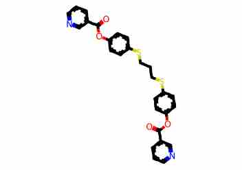 O=C(Oc1ccc(SCCCSc2ccc(OC(=O)c3cccnc3)cc2)cc1)c1cccnc1